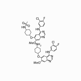 COc1cc2ncnc(Nc3ccc(F)c(Cl)c3)c2cc1OC1CCC(N)CC1.COc1cc2ncnc(Nc3ccc(F)c(Cl)c3)c2cc1OC1CCC(NS(C)(=O)=O)CC1